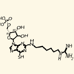 N=C(N)NCCCCCCNc1nc(S)c2ncn(C3O[C@H](COP(=O)(O)O)[C@H](O)C3O)c2n1